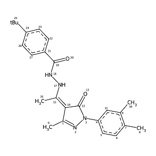 CC1=NN(c2ccc(C)c(C)c2)C(=O)/C1=C(/C)NNC(=O)c1ccc(C(C)(C)C)cc1